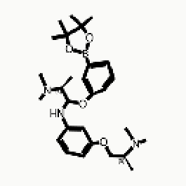 C[C@@H](COc1cccc(NC(Oc2cccc(B3OC(C)(C)C(C)(C)O3)c2)[C@H](C)N(C)C)c1)N(C)C